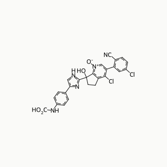 N#Cc1ccc(Cl)cc1-c1c[n+]([O-])c2c(c1Cl)CCC2(O)c1nc(-c2ccc(NC(=O)O)cc2)c[nH]1